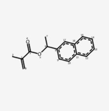 C=C(C)C(=O)OC(C)c1ccc2ccccc2c1